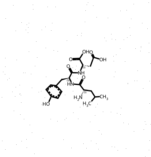 CC(C)C[C@H](N)C(=O)N[C@@H](Cc1ccc(O)cc1)C(=O)N[C@@H](CC(=O)O)C(=O)O